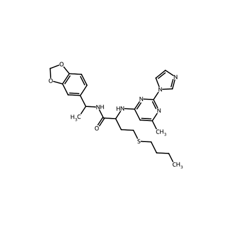 CCCCSCCC(Nc1cc(C)nc(-n2ccnc2)n1)C(=O)NC(C)c1ccc2c(c1)OCO2